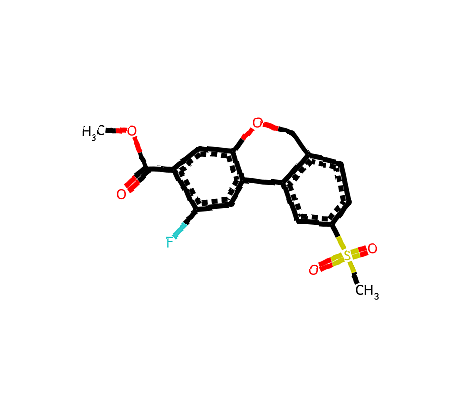 COC(=O)c1cc2c(cc1F)-c1cc(S(C)(=O)=O)ccc1CO2